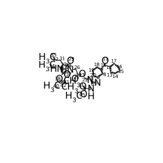 COC(=O)Nc1nc2cc(C(=O)c3ccccc3)ccc2n1COC(=O)CNC(=O)C(CC(C)C)NC(=O)OC(C)(C)C